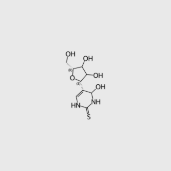 OC[C@H]1O[C@@H](C2=CNC(=S)NC2O)C(O)C1O